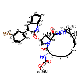 CCOC(=O)[C@@]12C[C@H]1/C=C\CCCCC[C@H](NC(=O)OC(C)(C)C)C(=O)N1C[C@H](Oc3nc4ccccc4cc3-c3cccc(Br)c3)C[C@H]1C(=O)N2